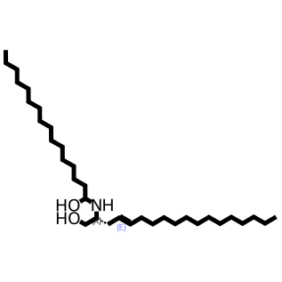 CCCCCCCCCCCCC/C=C/C[C@H](CO)NC(O)CCCCCCCCCCCCCCC